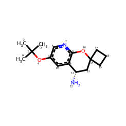 CC(C)(C)Oc1cnc2c(c1)[C@@H](N)CC1(CCC1)O2